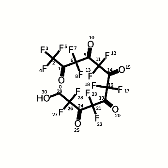 O=C(C(F)(F)F)C(F)(F)C(=O)C(F)(F)C(=O)C(F)(F)C(=O)C(F)(F)C(=O)C(F)(F)CO